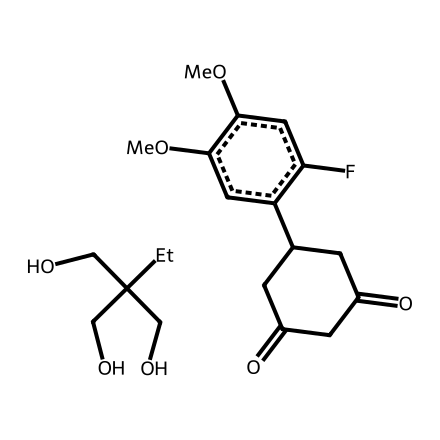 CCC(CO)(CO)CO.COc1cc(F)c(C2CC(=O)CC(=O)C2)cc1OC